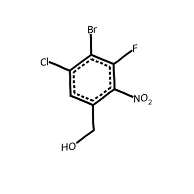 O=[N+]([O-])c1c(CO)cc(Cl)c(Br)c1F